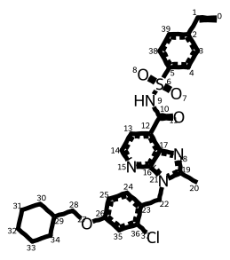 C=Cc1ccc(S(=O)(=O)NC(=O)c2ccnc3c2nc(C)n3Cc2ccc(OCC3CCCCC3)cc2Cl)cc1